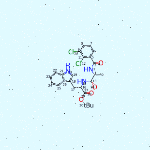 CC(NC(=O)c1cccc(Cl)c1Cl)C(=O)NC(Cc1c[nH]c2ccccc12)C(=O)OC(C)(C)C